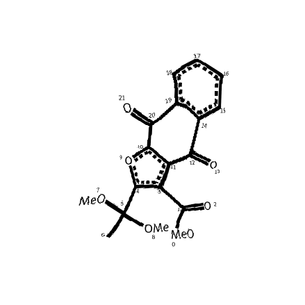 COC(=O)c1c(C(C)(OC)OC)oc2c1C(=O)c1ccccc1C2=O